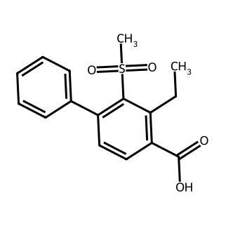 CCc1c(C(=O)O)ccc(-c2ccccc2)c1S(C)(=O)=O